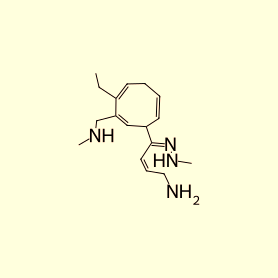 CCC1=C/CC=CC(C(/C=C\CN)=N/NC)/C=C\1CNC